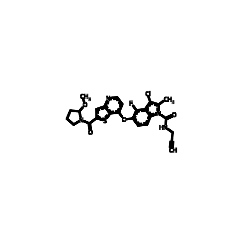 C#CCNC(=O)n1c(C)c(Cl)c2c(F)c(Oc3ccnc4cc(C(=O)N5CCCC5OC)sc34)ccc21